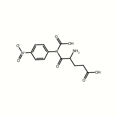 NC(CCC(=O)O)C(=O)N(C(=O)O)c1ccc([N+](=O)[O-])cc1